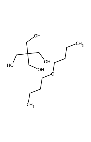 CCCCOCCCC.OCC(CO)(CO)CO